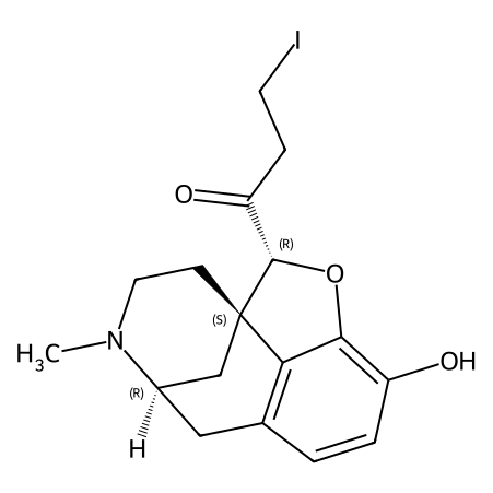 CN1CC[C@]23C[C@H]1Cc1ccc(O)c(c12)O[C@H]3C(=O)CCI